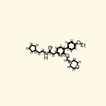 CCOc1ccc(-c2ccc(CC(=O)NCCC3CCCC3)nc2OCN2CCOCC2)cc1